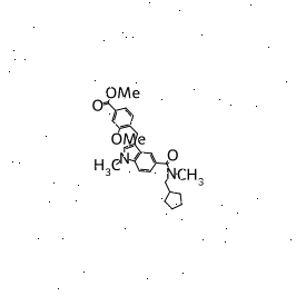 COC(=O)c1ccc(Cc2cn(C)c3ccc(C(=O)N(C)CC4CCCC4)cc23)c(OC)c1